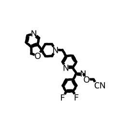 N#CCO/N=C(\c1ccc(F)c(F)c1)c1ccc(CN2CCC3(CC2)OCc2ccncc23)cn1